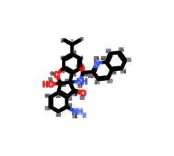 CC(C)c1ccc2c(c1)OC1(O)C3=C(C(=O)C21NC(=O)c1ccc2ccccc2n1)C(N)CC=C3